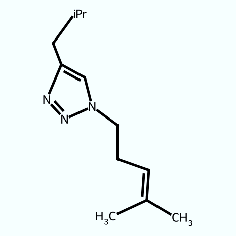 CC(C)=CCCn1cc(CC(C)C)nn1